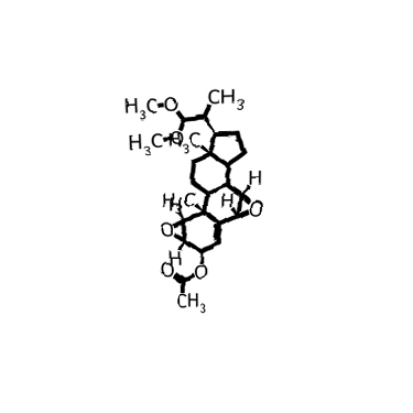 COC(OC)C(C)[C@H]1CCC2C3C(CC[C@@]21C)[C@]1(C)C(=C[C@@H](OC(C)=O)[C@@H]2O[C@@H]21)[C@H]1O[C@@H]31